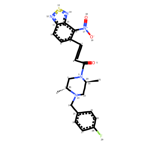 C[C@@H]1CN(C(=O)C=Cc2ccc3nsnc3c2[N+](=O)[O-])[C@@H](C)CN1Cc1ccc(F)cc1